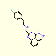 Fc1ccc(CCNCC2=Nc3cccc4c3=C(NNC=4)N2)cc1